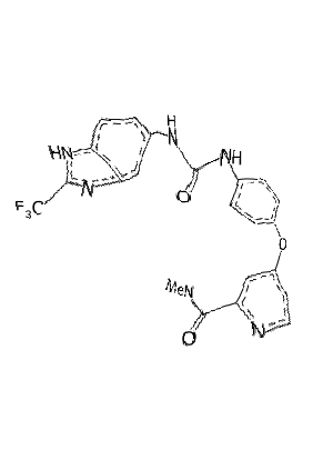 CNC(=O)c1cc(Oc2ccc(NC(=O)Nc3ccc4[nH]c(C(F)(F)F)nc4c3)cc2)ccn1